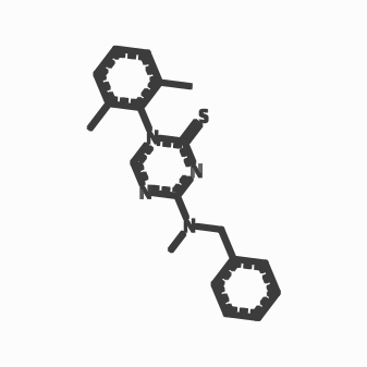 Cc1cccc(C)c1-n1cnc(N(C)Cc2ccccc2)nc1=S